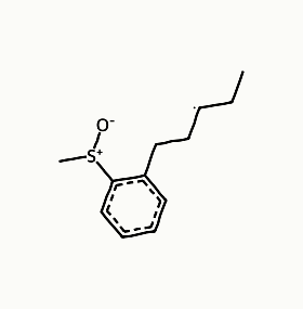 CC[CH]CCc1ccccc1[S+](C)[O-]